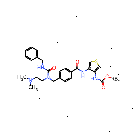 CN(C)CCN(Cc1ccc(C(=O)Nc2cscc2NC(=O)OC(C)(C)C)cc1)C(=O)NCc1ccccc1